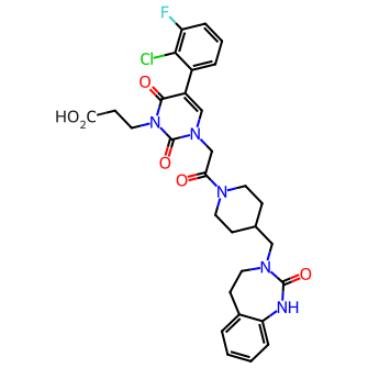 O=C(O)CCn1c(=O)c(-c2cccc(F)c2Cl)cn(CC(=O)N2CCC(CN3CCc4ccccc4NC3=O)CC2)c1=O